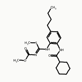 CCCCc1ccc(NC(=O)C2CCCCC2)c(NC(=NC(=O)OC)SC)c1